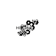 Cn1ccc(S(=O)(=O)N2CCC[C@H](Nc3nccc(-c4c(-c5cccc(OCOP(=O)(O)O)c5)nc5occn45)n3)C2)n1